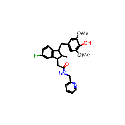 COc1cc(CC2c3ccc(F)cc3C(CC(=O)NCc3ccccn3)C2C)cc(OC)c1O